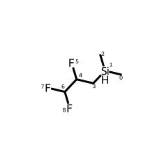 C[SiH](C)CC(F)C(F)F